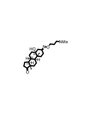 CNCCCON=C1CC[C@]2(C)[C@H]3CC[C@]4(C)C(=O)CC[C@H]4[C@@H]3CC[C@@]2(O)C1